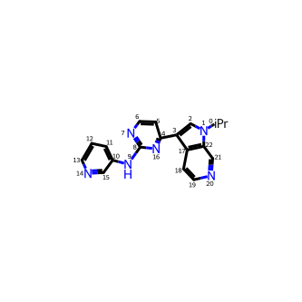 CC(C)n1cc(-c2ccnc(Nc3cccnc3)n2)c2ccncc21